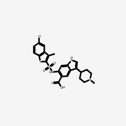 Cc1c(S(=O)(=O)Nc2cc3[nH]cc(C4CCN(C)CC4)c3cc2C(=O)O)sc2ccc(Cl)cc12